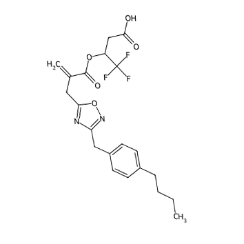 C=C(Cc1nc(Cc2ccc(CCCC)cc2)no1)C(=O)OC(CC(=O)O)C(F)(F)F